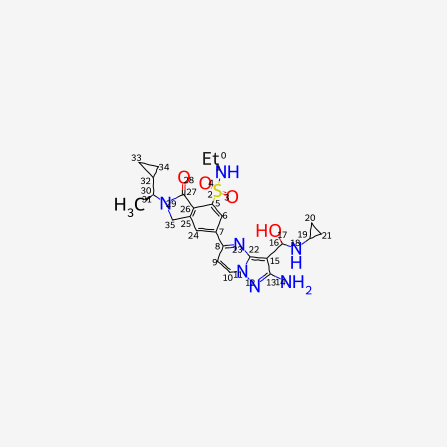 CCNS(=O)(=O)c1cc(-c2ccn3nc(N)c(C(O)NC4CC4)c3n2)cc2c1C(=O)N([C@@H](C)C1CC1)C2